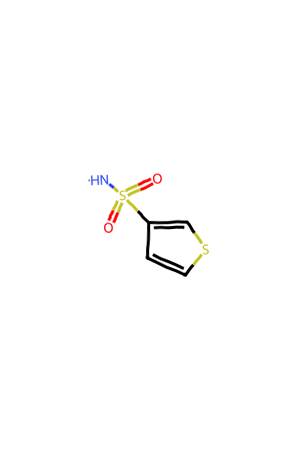 [NH]S(=O)(=O)c1ccsc1